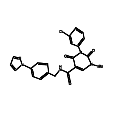 CCCCn1cc(C(=O)NCc2ccc(-n3cccn3)cc2)c(=O)n(-c2cccc(Cl)c2)c1=O